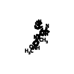 CC(=O)N[C@H]1CC[C@@H](n2ncc(-c3cc(Sc4cccn5cncc45)c4c(C#N)cnn4c3)c2C)CC1